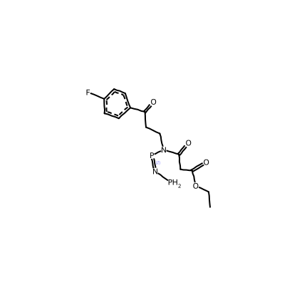 CCOC(=O)CC(=O)N(CCC(=O)c1ccc(F)cc1)/P=N\P